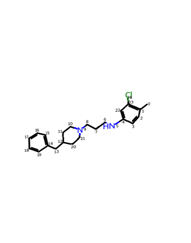 Cc1ccc(NCCCN2CCC(Cc3ccccc3)CC2)cc1Cl